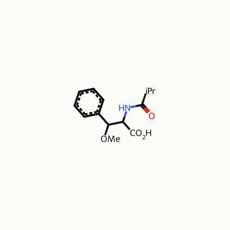 COC(c1ccccc1)C(NC(=O)C(C)C)C(=O)O